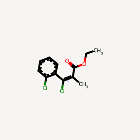 CCOC(=O)/C(C)=C(/Cl)c1ccccc1Cl